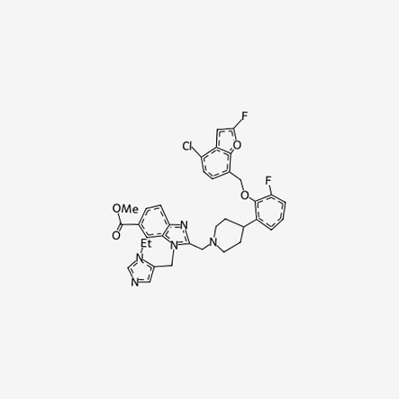 CCn1cncc1Cn1c(CN2CCC(c3cccc(F)c3OCc3ccc(Cl)c4cc(F)oc34)CC2)nc2ccc(C(=O)OC)cc21